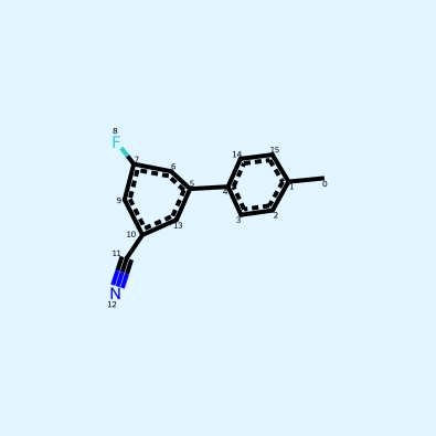 Cc1ccc(-c2cc(F)cc(C#N)c2)cc1